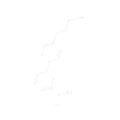 COC(=O)CCc1ccc(-c2cccc([C@@H](C)N)c2)cc1